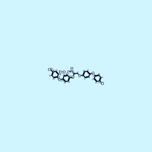 CCOC(=O)NC(COc1ccc(Oc2ccc(Cl)cc2)cc1)Oc1ccc(Oc2ccc(Cl)cc2)cc1